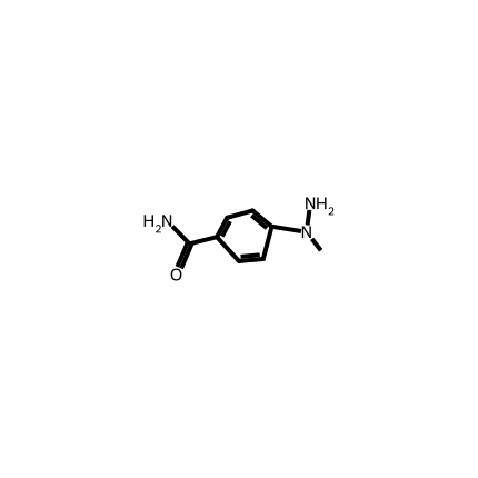 CN(N)c1ccc(C(N)=O)cc1